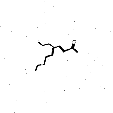 CCCCC=C(/C=C/C(C)=O)CCC